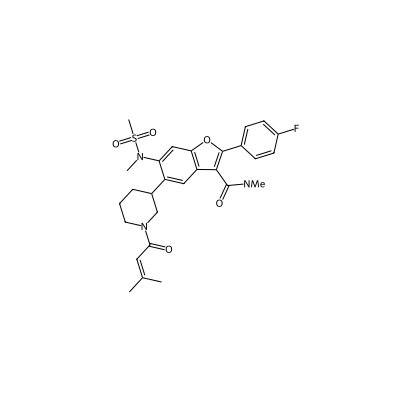 CNC(=O)c1c(-c2ccc(F)cc2)oc2cc(N(C)S(C)(=O)=O)c(C3CCCN(C(=O)C=C(C)C)C3)cc12